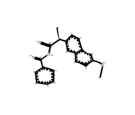 COc1ccc2cc([C@H](C)C(=O)OC(=O)c3ccccc3)ccc2c1